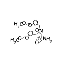 COCCOc1cccc(Cc2nc(CN3CCOCC3)c(Cc3cccc(OCCOC)c3)o2)c1.N